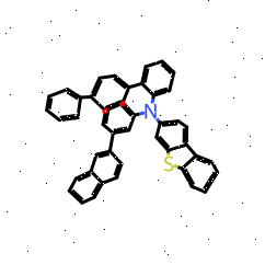 c1ccc(-c2ccc(-c3ccccc3N(c3cccc(-c4ccc5ccccc5c4)c3)c3ccc4c(c3)sc3ccccc34)cc2)cc1